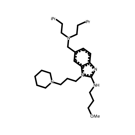 COCCCNc1nc2ccc(CN(CCC(C)C)CCC(C)C)cc2n1CCCN1CCCCC1